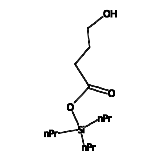 CCC[Si](CCC)(CCC)OC(=O)CCCO